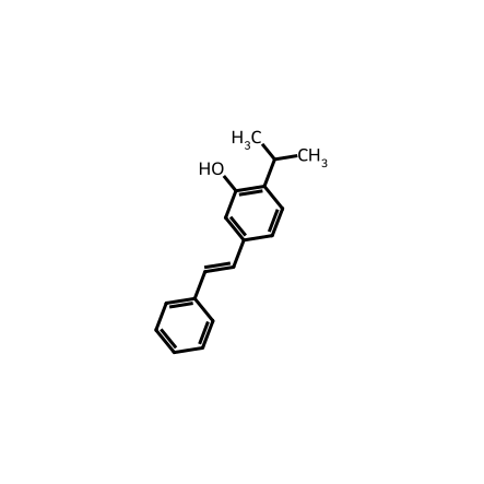 CC(C)c1ccc(C=Cc2ccccc2)cc1O